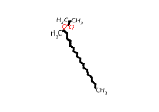 C=C(C)C(=O)OC(C)CCCCCCCCCCCCCCCCCCC